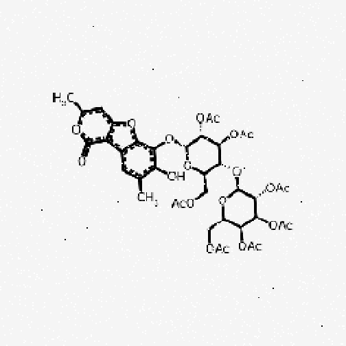 CC(=O)OC[C@H]1O[C@@H](O[C@H]2[C@H](OC(C)=O)[C@@H](OC(C)=O)[C@H](Oc3c(O)c(C)cc4c3oc3cc(C)oc(=O)c34)O[C@@H]2COC(C)=O)[C@H](OC(C)=O)[C@@H](OC(C)=O)[C@H]1OC(C)=O